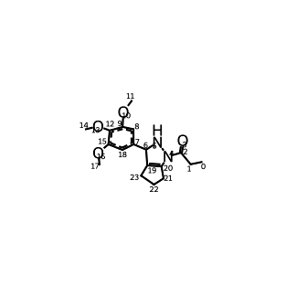 CCC(=O)N1NC(c2cc(OC)c(OC)c(OC)c2)C2=C1CCC2